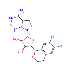 NC1NCNC2C1CCN2[C@@H]1O[C@H]([C@@H]2OCCc3cc(Cl)c(Cl)cc32)[C@@H](O)[C@H]1O